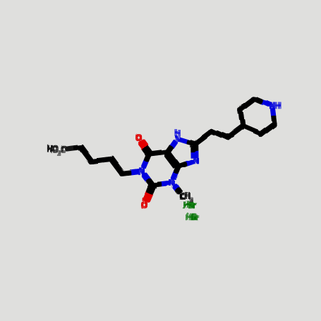 Br.Br.Cn1c(=O)n(CCCCC(=O)O)c(=O)c2[nH]c(CCC3CCNCC3)nc21